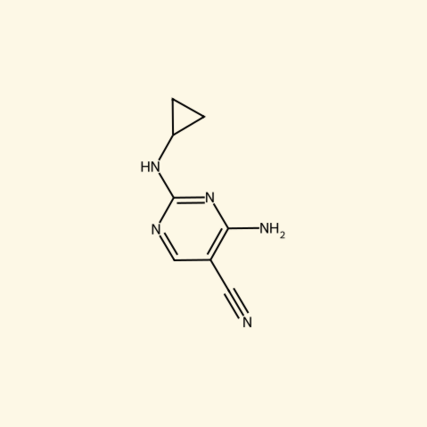 N#Cc1cnc(NC2CC2)nc1N